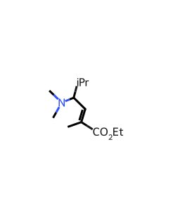 CCOC(=O)/C(C)=C/C(C(C)C)N(C)C